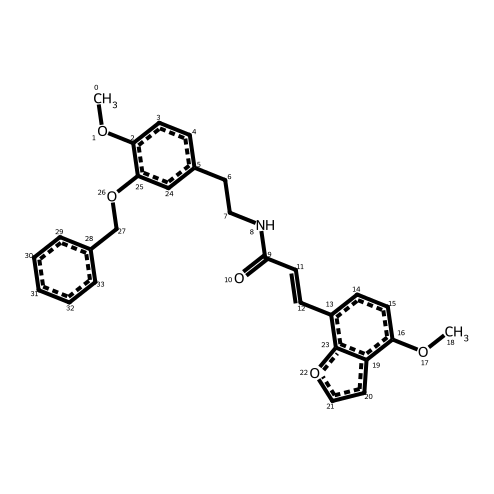 COc1ccc(CCNC(=O)C=Cc2ccc(OC)c3ccoc23)cc1OCc1ccccc1